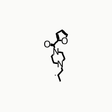 C[CH]CN1CCN(C(=O)c2ccco2)CC1